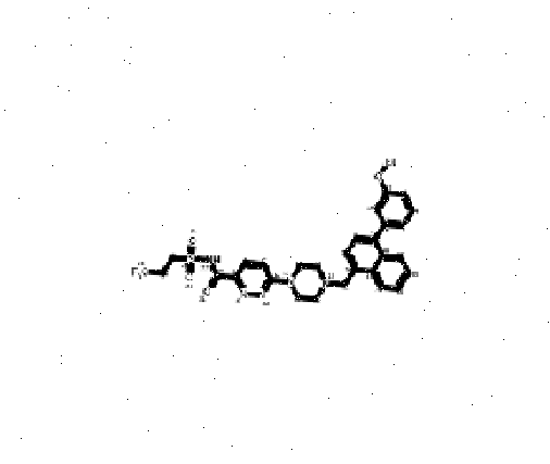 CCOc1cccc(-c2ccc(CN3CCN(c4ccc(C(=O)NS(=O)(=O)CCC(F)(F)F)nn4)CC3)c3ccccc23)c1